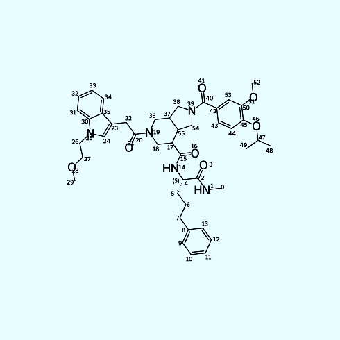 CNC(=O)[C@H](CCCc1ccccc1)NC(=O)C1CN(C(=O)Cc2cn(CCOC)c3ccccc23)CC2CN(C(=O)c3ccc(OC(C)C)c(OC)c3)CC21